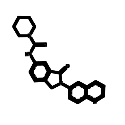 O=C(Nc1ccc2c(c1)C(=O)N(c1ccc3ncccc3c1)C2)N1CCCCC1